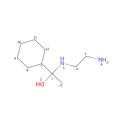 CC(O)(NCCN)C1CCCCC1